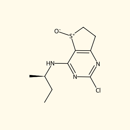 CC[C@@H](C)Nc1nc(Cl)nc2c1[S+]([O-])CC2